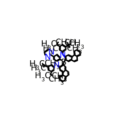 CC(C)(C)c1cc(N2c3cc4c(ccc5ccccc54)cc3B3c4cc5ccc6ccccc6c5cc4N(c4cc(C(C)(C)C)cc(C(C)(C)C)c4)c4cc(-c5ncccn5)cc2c43)cc(C(C)(C)C)c1